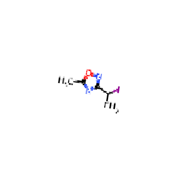 Cc1nc(C(C)I)no1